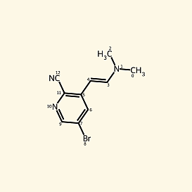 CN(C)C=Cc1cc(Br)cnc1C#N